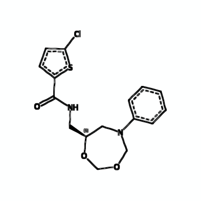 O=C(NC[C@H]1CN(c2ccccc2)COCO1)c1ccc(Cl)s1